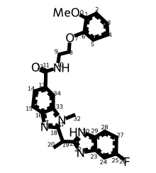 COc1ccccc1OCCNC(=O)c1ccc2nc(C(C)c3nc4cc(F)ccc4[nH]3)n(C)c2c1